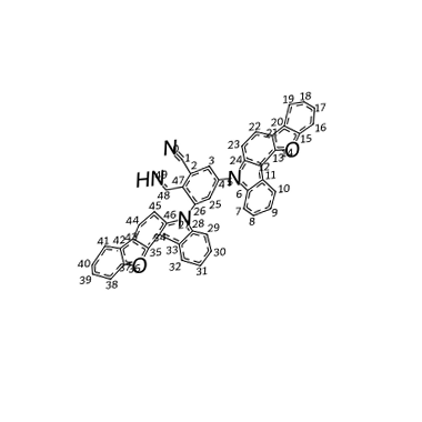 N#Cc1cc(-n2c3ccccc3c3c4oc5ccccc5c4ccc32)cc(-n2c3ccccc3c3c4oc5ccccc5c4ccc32)c1C=N